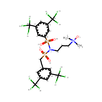 C[N+](C)([O-])CCCN(S(=O)(=O)Cc1cc(C(F)(F)F)cc(C(F)(F)F)c1)S(=O)(=O)c1cc(C(F)(F)F)cc(C(F)(F)F)c1